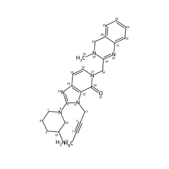 CC#CCn1c(N2CCCC(N)C2)nc2ccn(CC3=Nc4ccccc4CN3C)c(=O)c21